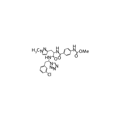 COC(=O)Nc1ccc(C(=O)NC(Cc2ccn(C)n2)C(=O)NC(Cc2cccc(Cl)c2)n2cnnn2)cc1